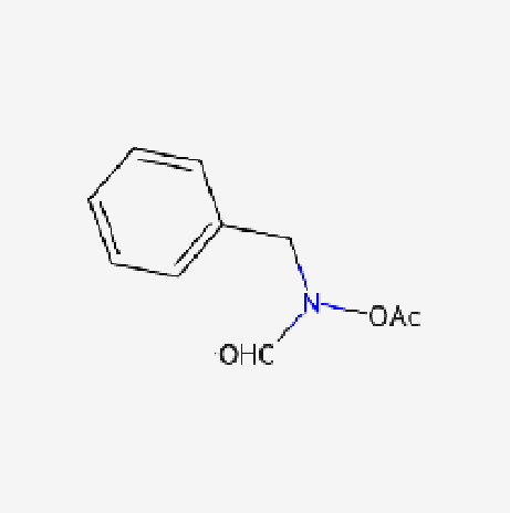 CC(=O)ON([C]=O)Cc1ccccc1